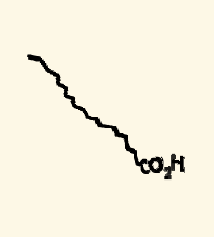 C=CCCCCCCCCCCCCCC=CCCC(=O)O